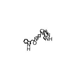 CN(c1ncnc2[nH]ccc12)C1CC2(C1)CN(C(=O)Cc1c[nH]c3ccccc13)C2